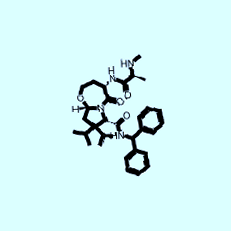 CN[C@@H](C)C(=O)N[C@H]1CCO[C@H]2CC(C(C)C)(C(C)C)[C@@H](C(=O)NC(c3ccccc3)c3ccccc3)N2C1=O